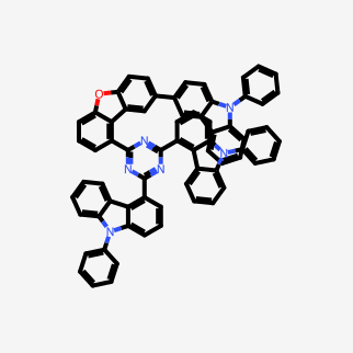 c1ccc(-n2c3ccccc3c3cc(-c4ccc5oc6cccc(-c7nc(-c8cccc9c8c8ccccc8n9-c8ccccc8)nc(-c8cccc9c8c8ccccc8n9-c8ccccc8)n7)c6c5c4)ccc32)cc1